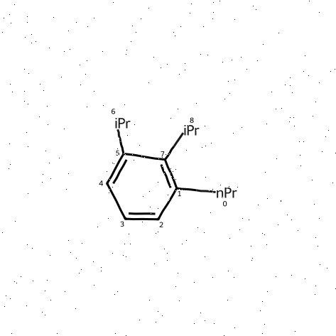 CCCc1cccc(C(C)C)c1C(C)C